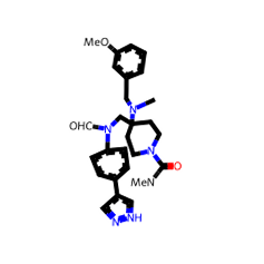 CNC(=O)N1CCC(CN(C=O)c2ccc(-c3cn[nH]c3)cc2)(N(C)Cc2cccc(OC)c2)CC1